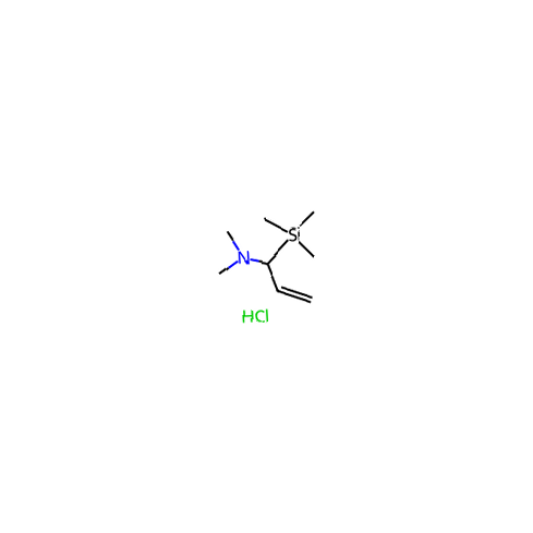 C=CC(N(C)C)[Si](C)(C)C.Cl